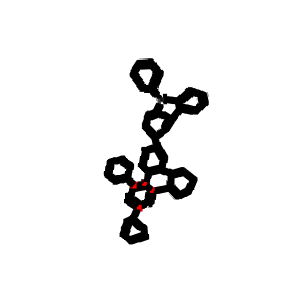 C1=C(c2nc(-c3ccccc3)nc(-c3ccccc3)n2)C(c2cc(-c3ccc4c(c3)c3ccccc3n4-c3ccccc3)ccc2-c2ccccc2)=CCC1